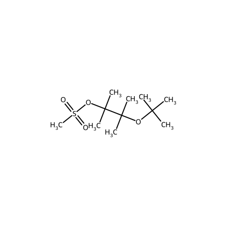 CC(C)(C)OC(C)(C)C(C)(C)OS(C)(=O)=O